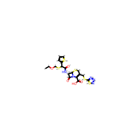 CCOCSC(C(=O)N[C@H]1C(=O)N2C(C(=O)O)=C(CSc3nnns3)CSC12)c1cccs1